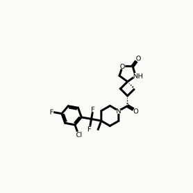 CC1(C(F)(F)c2ccc(F)cc2Cl)CCN(C(=O)[C@H]2C[C@@]3(COC(=O)N3)C2)CC1